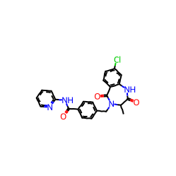 CC1C(=O)Nc2cc(Cl)ccc2C(=O)N1Cc1ccc(C(=O)Nc2ccccn2)cc1